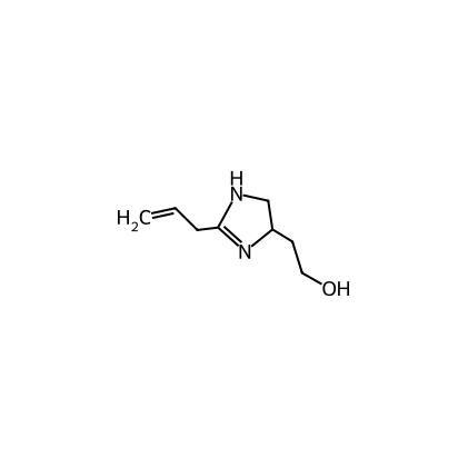 C=CCC1=NC(CCO)CN1